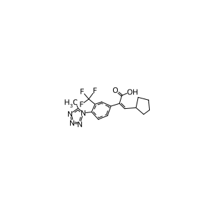 Cc1nnnn1-c1ccc(C(=CC2CCCC2)C(=O)O)cc1C(F)(F)F